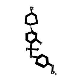 CC[C@H]1CC[C@H](c2ccc(C(F)(F)Oc3ccc(OC(F)(F)F)cc3)c(F)c2)CC1